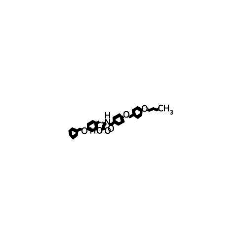 CCCCOc1ccc(COc2ccc(C(=O)N[C@@H](Cc3ccc(OCc4ccccc4)cc3)C(=O)O)cc2)cc1